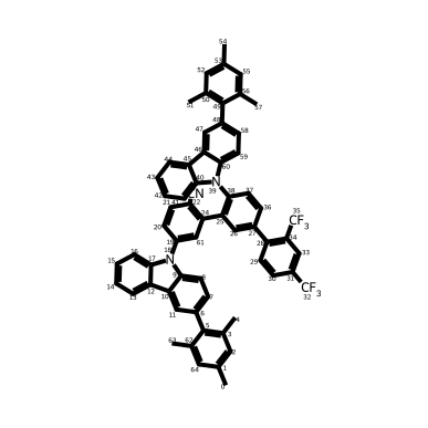 Cc1cc(C)c(-c2ccc3c(c2)c2ccccc2n3-c2ccc(C#N)c(-c3cc(-c4ccc(C(F)(F)F)cc4C(F)(F)F)ccc3-n3c4ccccc4c4cc(-c5c(C)cc(C)cc5C)ccc43)c2)c(C)c1